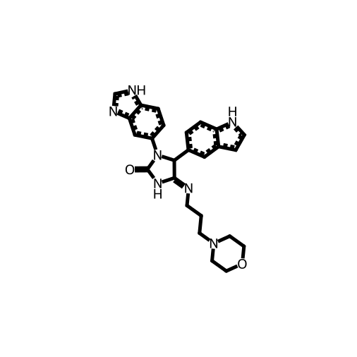 O=C1NC(=NCCCN2CCOCC2)C(c2ccc3[nH]ccc3c2)N1c1ccc2[nH]cnc2c1